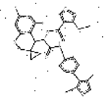 CCc1nonc1C(=O)N[C@H](C(=O)Nc1ccc(-c2c(C)c[nH]c2C)cc1)C1c2c(F)cc(F)cc2OCC12CC2